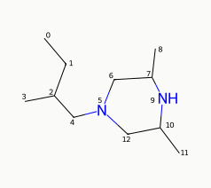 CCC(C)CN1CC(C)NC(C)C1